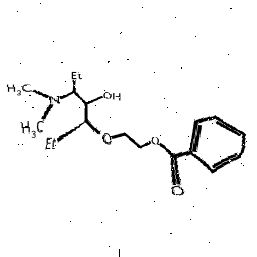 CCC(C(O)[C@H](CC)OCCOC(=O)c1ccccc1)N(C)C